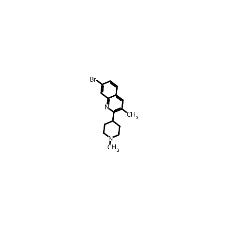 Cc1cc2ccc(Br)cc2nc1C1CCN(C)CC1